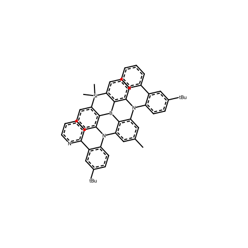 Cc1cc2c3c(c1)N(c1ccc(C(C)(C)C)cc1-c1ccccn1)c1cccc4c1B3c1c(cccc1[Si]4(C)C)N2c1ccc(C(C)(C)C)cc1-c1ccccn1